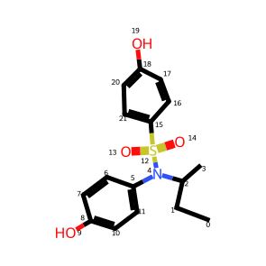 CCC(C)N(c1ccc(O)cc1)S(=O)(=O)c1ccc(O)cc1